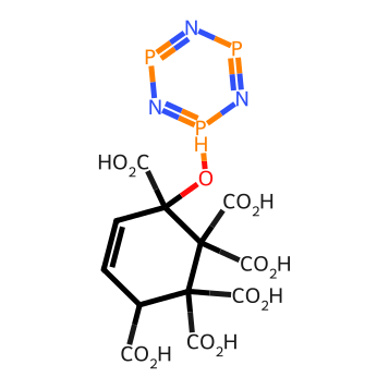 O=C(O)C1C=CC(O[PH]2=NP=NP=N2)(C(=O)O)C(C(=O)O)(C(=O)O)C1(C(=O)O)C(=O)O